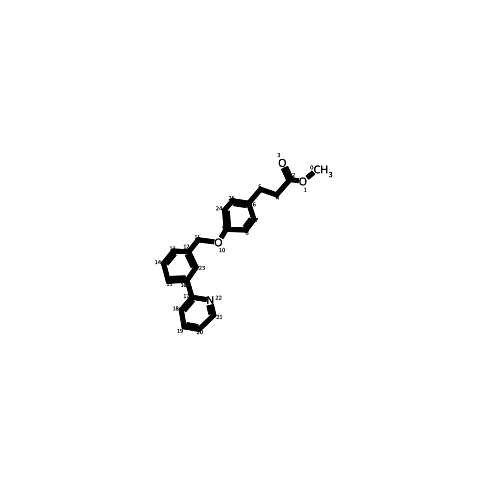 COC(=O)CCc1ccc(OCc2cccc(-c3ccccn3)c2)cc1